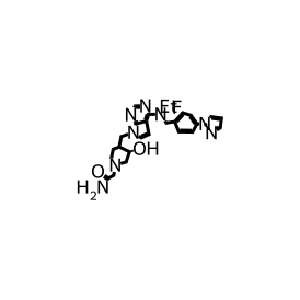 CCN(Cc1ccc(-n2cccn2)cc1F)c1ncnc2c1ccn2CC1CCN(CC(N)=O)C[C@@H]1O